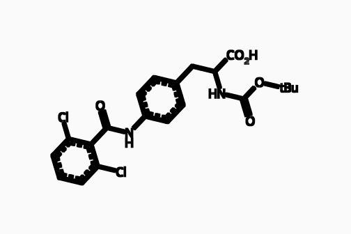 CC(C)(C)OC(=O)NC(Cc1ccc(NC(=O)c2c(Cl)cccc2Cl)cc1)C(=O)O